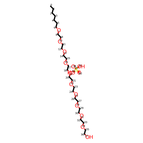 CCCCCCCOCCOCCOCCOCCOCCOCCOCCOCCOCCOCCO.O=S(=O)(O)O